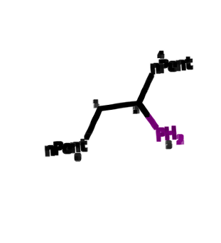 CCCCCCC(P)CCCCC